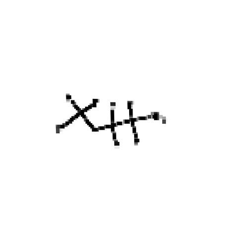 NC(F)(F)C(F)(F)CC(F)(F)F